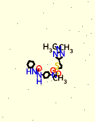 CN(C)c1ncc(-c2ccc(S(=O)(=O)N(C)c3ccc(NC(=O)Nc4ccccc4)cc3)s2)cn1